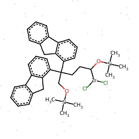 C[Si](C)(C)OCC(CC[CH](O[Si](C)(C)C)[Zr]([Cl])[Cl])(c1cccc2c1Cc1ccccc1-2)c1cccc2c1Cc1ccccc1-2